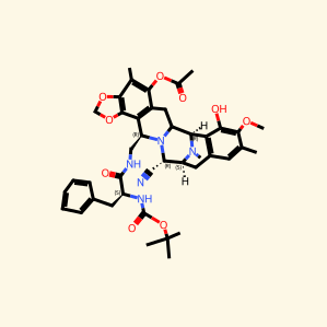 COc1c(C)cc2c(c1O)[C@@H]1C3Cc4c(OC(C)=O)c(C)c5c(c4[C@H](CNC(=O)[C@H](Cc4ccccc4)NC(=O)OC(C)(C)C)N3[C@@H](C#N)[C@H](C2)N1C)OCO5